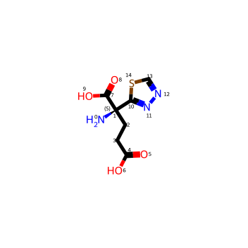 N[C@@](CCC(=O)O)(C(=O)O)c1nncs1